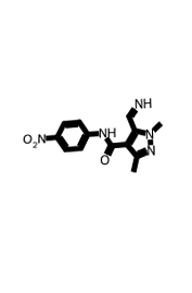 Cc1nn(C)c(C=N)c1C(=O)Nc1ccc([N+](=O)[O-])cc1